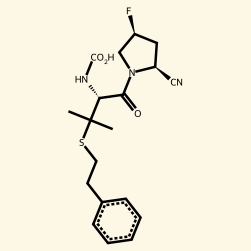 CC(C)(SCCc1ccccc1)[C@H](NC(=O)O)C(=O)N1C[C@@H](F)C[C@H]1C#N